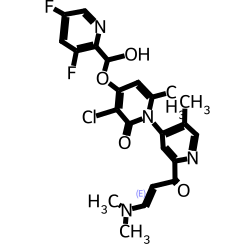 Cc1cnc(C(=O)/C=C/N(C)C)cc1-n1c(C)cc(OC(O)c2ncc(F)cc2F)c(Cl)c1=O